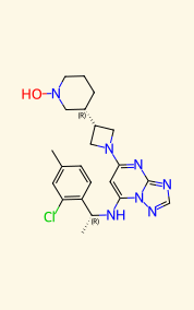 Cc1ccc([C@@H](C)Nc2cc(N3CC([C@H]4CCCN(O)C4)C3)nc3ncnn23)c(Cl)c1